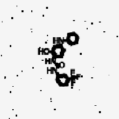 O=C(Nc1cccc(C(F)(F)F)c1)Nc1ccc(Nc2ccccc2)cc1O